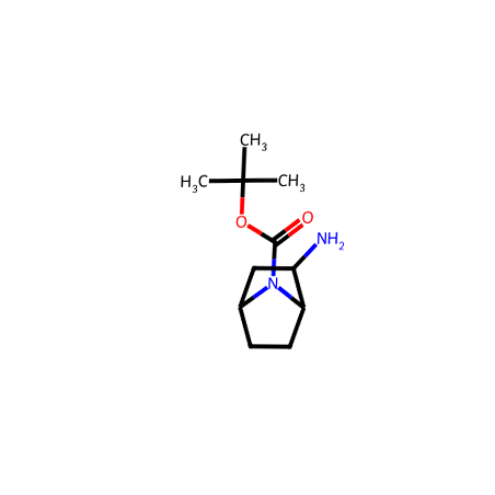 CC(C)(C)OC(=O)N1C2CCC1C(N)C2